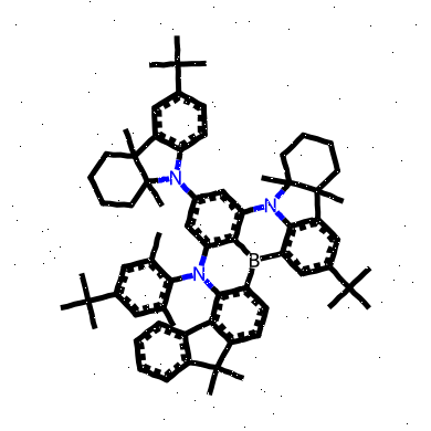 Cc1cc(C(C)(C)C)cc(C)c1N1c2cc(N3c4ccc(C(C)(C)C)cc4C4(C)CCCCC34C)cc3c2B(c2ccc4c(c21)-c1ccccc1C4(C)C)c1cc(C(C)(C)C)cc2c1N3C1(C)CCCCC21C